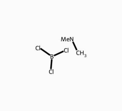 CNC.ClB(Cl)Cl